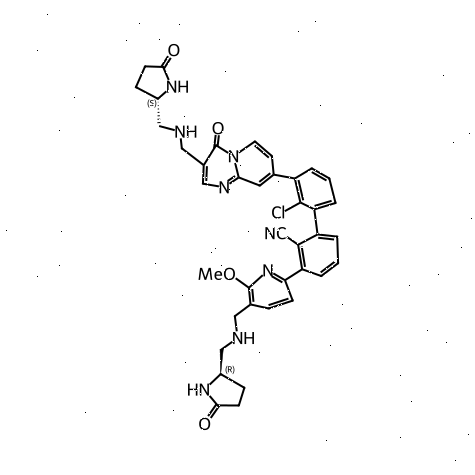 COc1nc(-c2cccc(-c3cccc(-c4ccn5c(=O)c(CNC[C@@H]6CCC(=O)N6)cnc5c4)c3Cl)c2C#N)ccc1CNC[C@H]1CCC(=O)N1